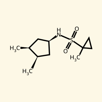 C[C@@H]1C[C@H](NS(=O)(=O)C2(C)CC2)C[C@@H]1C